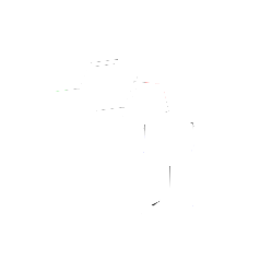 C[C@H](N)c1nc2c(oc3ccc(Cl)cc32)c(=O)[nH]1